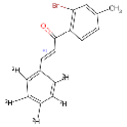 [2H]c1c([2H])c([2H])c(/C=C/C(=O)c2ccc(C)cc2Br)c([2H])c1[2H]